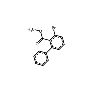 COC(=O)c1c(Br)cccc1-c1ccccc1